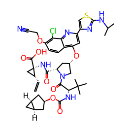 C=C[C@@H]1C[C@@]1(NC(=O)[C@@H]1C[C@H](Oc2cc(-c3csc(NC(C)C)n3)nc3c(Cl)c(OCC#N)ccc23)CN1C(=O)[C@@H](NC(=O)O[C@@H]1C[C@@H]2C[C@@H]2C1)C(C)(C)C)C(=O)O